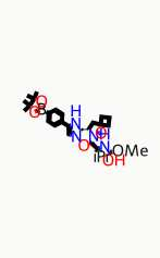 COC(O)N[C@H](C(=O)N1OC2(CCC2)C[C@H]1c1ncc(-c2ccc(B3OC(C)(C)C(C)(C)O3)cc2)[nH]1)C(C)C